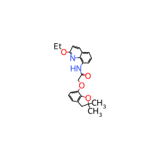 CCOc1ccc2cccc(NC(=O)COc3cccc4c3OC(C)(C)C4)c2n1